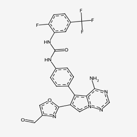 Nc1ncnn2cc(-c3nc(C=O)co3)c(-c3ccc(NC(=O)Nc4cc(C(F)(F)F)ccc4F)cc3)c12